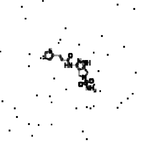 NS(=O)(=O)N1Cc2[nH]nc(NC(=O)C=Cc3cccs3)c2C1